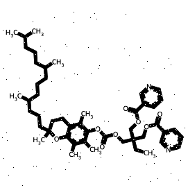 CCC(COC(=O)Oc1c(C)c(C)c2c(c1C)CCC(C)(CCCC(C)CCCC(C)CCCC(C)C)O2)(COC(=O)c1cccnc1)COC(=O)c1cccnc1